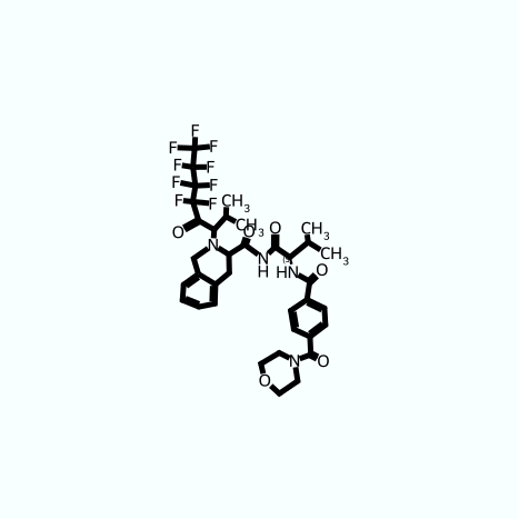 CC(C)C(C(=O)C(F)(F)C(F)(F)C(F)(F)C(F)(F)F)N1Cc2ccccc2CC1C(=O)NC(=O)[C@@H](NC(=O)c1ccc(C(=O)N2CCOCC2)cc1)C(C)C